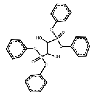 O=P(Oc1ccccc1)(Oc1ccccc1)C(O)C(O)P(=O)(Oc1ccccc1)Oc1ccccc1